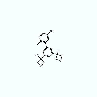 Cc1ncc(N)cc1-c1cc(C2(O)COC2)cc(C2(F)COC2)c1